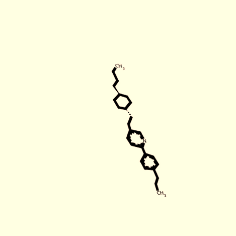 CCCC[C@H]1CC[C@H](CCc2ccc(-c3ccc(CCC)cc3)nc2)CC1